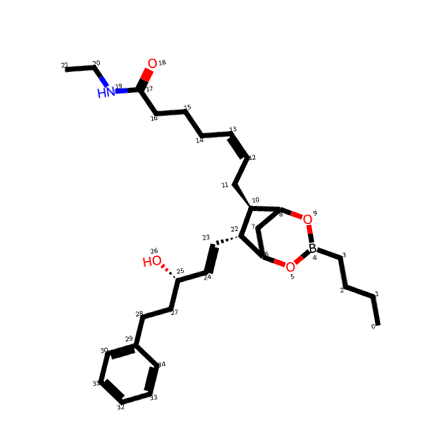 CCCCB1OC2CC(O1)[C@H](C/C=C\CCCC(=O)NCC)[C@H]2C=C[C@@H](O)CCc1ccccc1